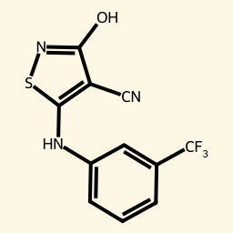 N#Cc1c(O)nsc1Nc1cccc(C(F)(F)F)c1